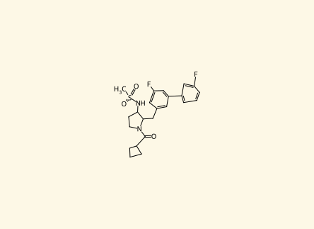 CS(=O)(=O)NC1CCN(C(=O)C2CCC2)C1Cc1cc(F)cc(-c2cccc(F)c2)c1